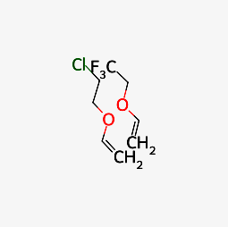 C=COCC(F)(F)F.C=COCCCl